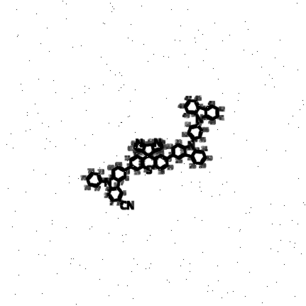 N#Cc1ccc2c(c1)c1cc(-c3ccc4c(c3)Sc3ccc(-c5ccc6c(c5)c5ccccc5n6-c5ccc(-n6c7ccccc7c7ccccc76)cc5)cc3C43c4cccnc4-c4ncccc43)ccc1n2-c1ccccc1